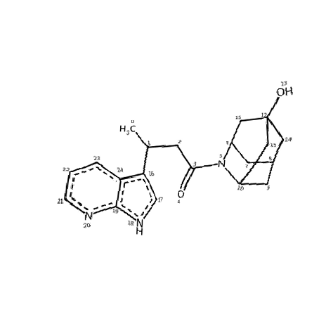 CC(CC(=O)N1C2CC3CC1CC(O)(C3)C2)c1c[nH]c2ncccc12